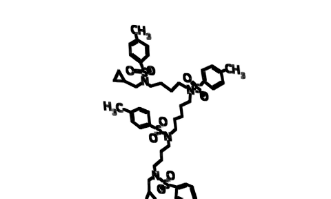 Cc1ccc(S(=O)(=O)N(CCCCCN(CCCCN(CC2CC2)S(=O)(=O)c2ccc(C)cc2)S(=O)(=O)c2ccc(C)cc2)CCCCN(CC2CC2)S(=O)(=O)c2ccc(C)cc2)cc1